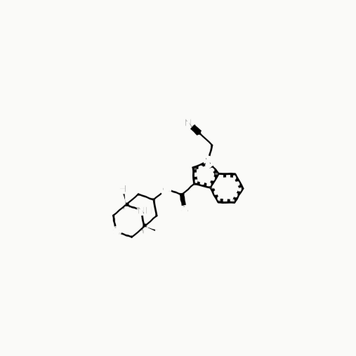 N#CCn1cc(C(=O)OC2C[C@H]3COC[C@@H](C2)N3)c2ccccc21